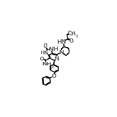 C=CC(=O)NC1CCCN(c2nc(-c3ccc(Oc4ccccc4)cc3)c(C(N)=O)c3[nH]c(=O)[nH]c23)C1